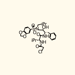 CC(C)CN(C[C@@H](O)[C@H](Cc1ccccc1)NC(=O)[C@@H](NC(=O)CCl)C(C)C)S(=O)(=O)c1ccc2c(c1)OCO2